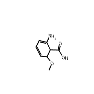 COC1C=CC=C(N)C1C(=O)O